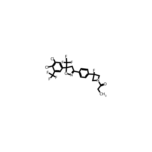 CCC(=O)N1CC(F)(c2ccc(C3=NOC(c4cc(Cl)c(Cl)c(C(F)(F)F)c4)(C(F)(F)F)C3)cc2)C1